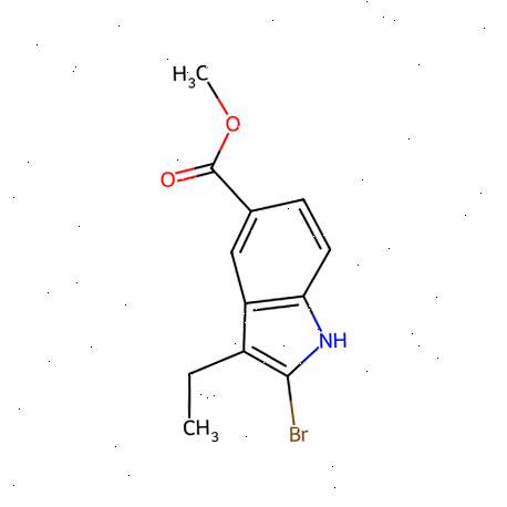 CCc1c(Br)[nH]c2ccc(C(=O)OC)cc12